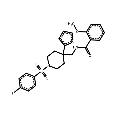 COc1ccccc1C(=O)NCC1(c2cccs2)CCN(S(=O)(=O)c2ccc(F)cc2)CC1